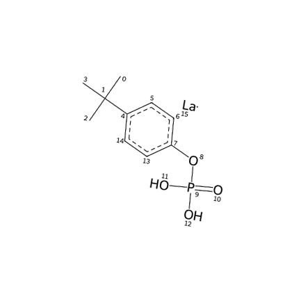 CC(C)(C)c1ccc(OP(=O)(O)O)cc1.[La]